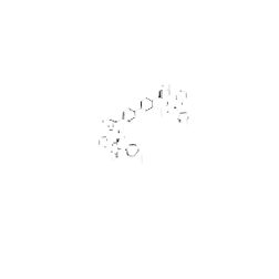 O=C(O)N[C@@H](C(=O)N1CCC[C@H]1c1ncc(-c2ccc(-c3ccc(-c4cnc([C@@H]5CCCN5C(=O)C5CCOC5)[nH]4)cc3)cc2)[nH]1)c1ccccc1